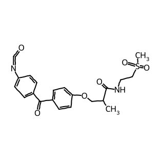 CC(COc1ccc(C(=O)c2ccc(N=C=O)cc2)cc1)C(=O)NCCS(C)(=O)=O